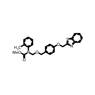 COC(=O)N(COCc1ccc(OCc2nc3ccccc3s2)cc1)c1ccccc1C